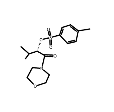 Cc1ccc(S(=O)(=O)O[C@H](C(=O)N2CCOCC2)C(C)C)cc1